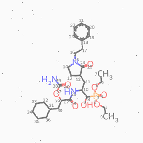 CCOP(=O)(OCC)C(O)C(CC1CCN(CCc2ccccc2)C1=O)NC(=O)C(CC1CCCCC1)OC(N)=O